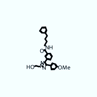 COc1ccc(-c2nn(CCO)nc2-c2cccc(C(=O)NCCCCc3ccccc3)c2)cc1